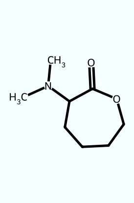 CN(C)C1CCCCOC1=O